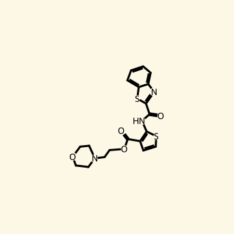 O=C(Nc1sccc1C(=O)OCCN1CCOCC1)c1nc2ccccc2s1